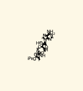 CC(C)OC(=O)C(C)NP1(=O)OCOC2[C@@H](CO1)OC1[C@@H](n3cnc4c(N)ncnc43)C21O